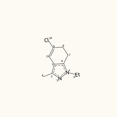 CCn1nc(C)c2c1CCC(Cl)=C2